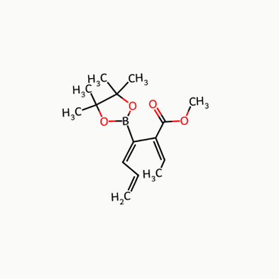 C=C/C=C(B1OC(C)(C)C(C)(C)O1)\C(=C/C)C(=O)OC